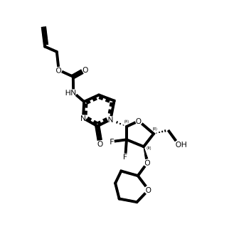 C=CCOC(=O)Nc1ccn([C@@H]2O[C@H](CO)[C@@H](OC3CCCCO3)C2(F)F)c(=O)n1